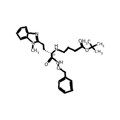 Cn1c(CC[C@H](NCCCC(=O)OC(C)(C)C)C(=O)NOCc2ccccc2)nc2ccccc21